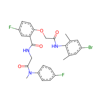 Cc1cc(Br)cc(C)c1NC(=O)COc1ccc(F)cc1C(=O)NCC(=O)N(C)c1ccc(F)cc1